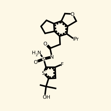 CC(C)c1c2c(c3c(c1CC(=O)N=S(N)(=O)c1sc(C(C)(C)O)cc1F)CCC3)COC2